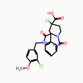 COc1ccc(CNC(=O)C2(c3ccccc3)CC(Cl)(C(=O)O)CCN2C(N)=O)cc1Cl